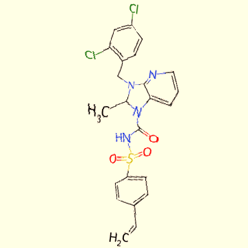 C=Cc1ccc(S(=O)(=O)NC(=O)N2c3cccnc3N(Cc3ccc(Cl)cc3Cl)C2C)cc1